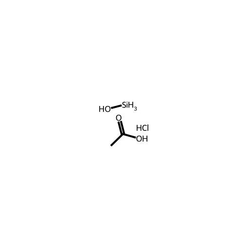 CC(=O)O.Cl.O[SiH3]